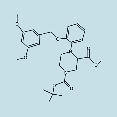 COC(=O)C1CN(C(=O)OC(C)(C)C)CCN1c1ccccc1OCc1cc(OC)cc(OC)c1